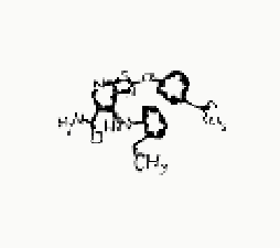 CCc1ccccc1Nc1c(C(N)=O)cnc2sc(Oc3ccc(C(N)=O)cc3)nc12